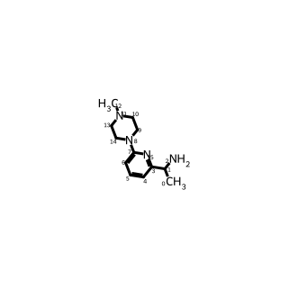 CC(N)c1cccc(N2CCN(C)CC2)n1